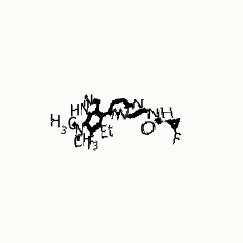 CCc1c(F)c(N(C)C)c2[nH]ncc2c1-c1ccc2nc(NC(=O)[C@@H]3C[C@@H]3F)cn2n1